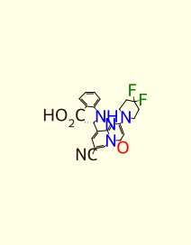 C[C@H](Nc1ccccc1C(=O)O)c1cc(C#N)cn2c(=O)cc(N3CCC(F)(F)CC3)nc12